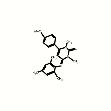 COc1ccc(-c2cc(=Nc3c(C)cc(C)cc3C)n(C)c(=O)n2C)cc1